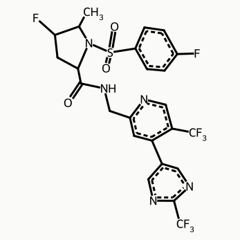 CC1C(F)CC(C(=O)NCc2cc(-c3cnc(C(F)(F)F)nc3)c(C(F)(F)F)cn2)N1S(=O)(=O)c1ccc(F)cc1